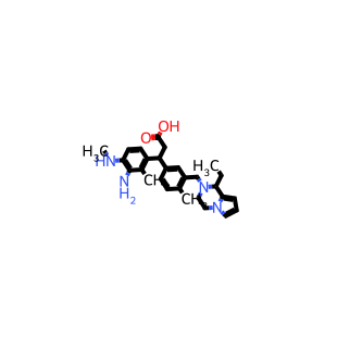 CCC1c2cccn2CCN1Cc1cc(C(CC(=O)O)c2ccc(NC)c(N)c2C)ccc1C